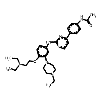 CCN(CC)CCOc1ccc(Nc2nccc(-c3ccc(NC(C)=O)cc3)n2)cc1N1CCN(CC)CC1